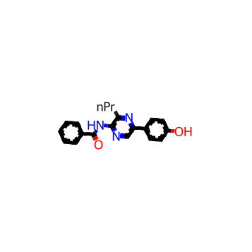 CCCc1nc(-c2ccc(O)cc2)cnc1NC(=O)c1ccccc1